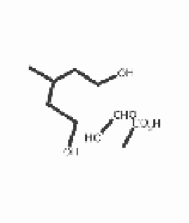 CC(=O)O.CC(CCO)CCO.O=CO